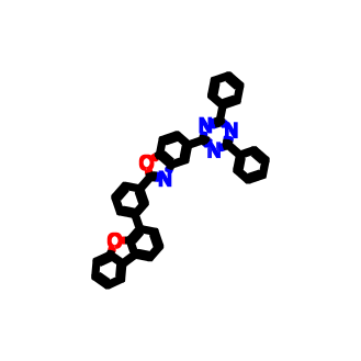 c1ccc(-c2nc(-c3ccccc3)nc(-c3ccc4oc(-c5cccc(-c6cccc7c6oc6ccccc67)c5)nc4c3)n2)cc1